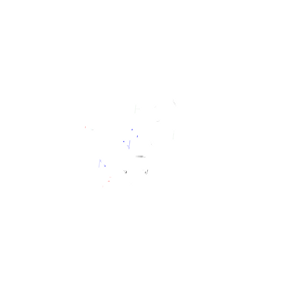 COC(=O)C1CCN(C(=O)[C@]23CC[C@H](c4cc(-c5c(F)cccc5F)nnc42)C3(C)C)C1